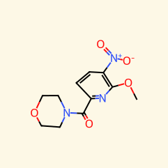 COc1nc(C(=O)N2CCOCC2)ccc1[N+](=O)[O-]